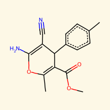 COC(=O)C1=C(C)OC(N)=C(C#N)C1c1ccc(C)cc1